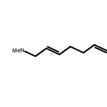 C=CCC/C=C/CNC